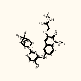 CNC(=O)COc1cc2cc(Nc3nc(N4CC5CC4CC5(F)F)ncc3Cl)ccc2n(C)c1=O